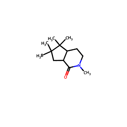 BC1(C)CC2C(=O)N(C)CCC2C1(C)C